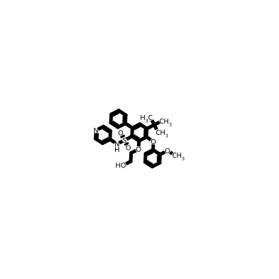 COc1ccccc1Oc1c(C(C)(C)C)cc(-c2ccccc2)c(S(=O)(=O)Nc2ccncc2)c1OCCO